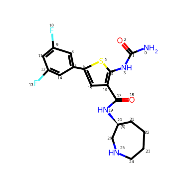 NC(=O)Nc1sc(-c2cc(F)cc(F)c2)cc1C(=O)N[C@H]1CCCCNC1